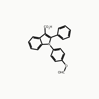 O=COc1ccc(-n2c(-c3ccccc3)c(C(=O)O)c3ccccc32)cc1